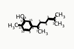 CC(C)=CCCC(C)c1ccc(C)c(O)c1